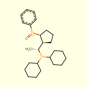 C[C@H]([C@@H]1CCC[C@@H]1[PH](=O)c1ccccc1)P(C1CCCCC1)C1CCCCC1